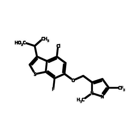 CC(C(=O)O)c1csc2c(F)c(OCc3cc(C(F)(F)F)nn3C)cc(Cl)c12